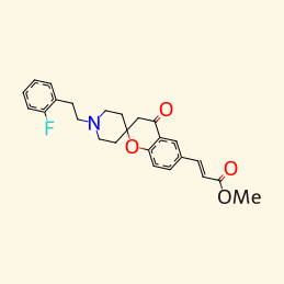 COC(=O)C=Cc1ccc2c(c1)C(=O)CC1(CCN(CCc3ccccc3F)CC1)O2